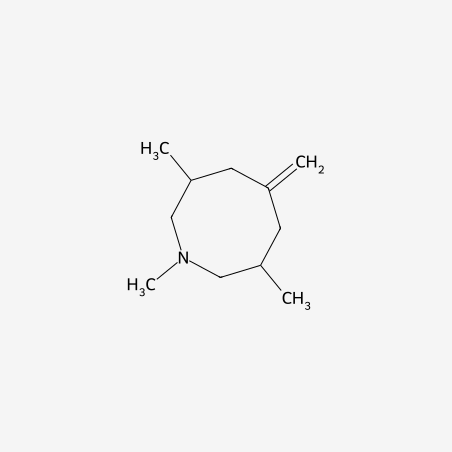 C=C1CC(C)CN(C)CC(C)C1